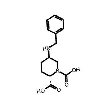 O=C(O)[C@@H]1CCC(NCc2ccccc2)CN1C(=O)O